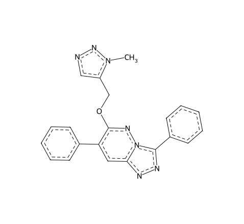 Cn1nncc1COc1nn2c(-c3ccccc3)nnc2cc1-c1ccccc1